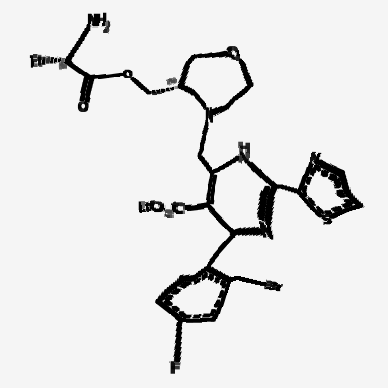 CCOC(=O)C1=C(CN2CCOC[C@H]2COC(=O)[C@@H](N)CC)NC(c2nccs2)=NC1c1ccc(F)cc1Br